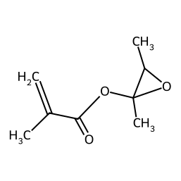 C=C(C)C(=O)OC1(C)OC1C